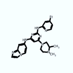 CCc1ccnc(Nc2nc(Nc3ccn4ccnc4c3)cc(N3CCN(C)C(C)C3)n2)c1